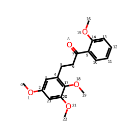 COc1cc(CCC(=O)c2ccccc2OC)c(OC)c(OC)c1